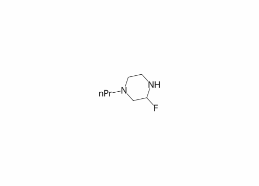 CCCN1CCNC(F)C1